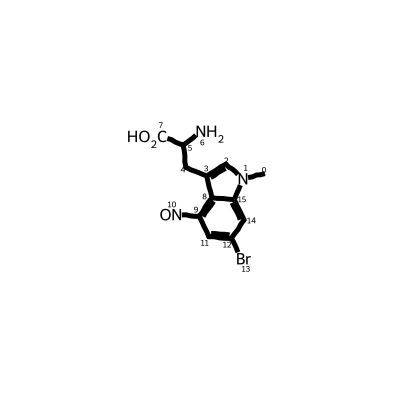 Cn1cc(CC(N)C(=O)O)c2c(N=O)cc(Br)cc21